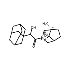 CC1(C)C2CC[C@]1(C)CN(C(=O)C(O)C13CC4CC(CC(C4)C1)C3)C2